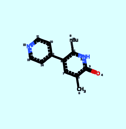 CCCCc1[nH]c(=O)c(C)cc1-c1ccncc1